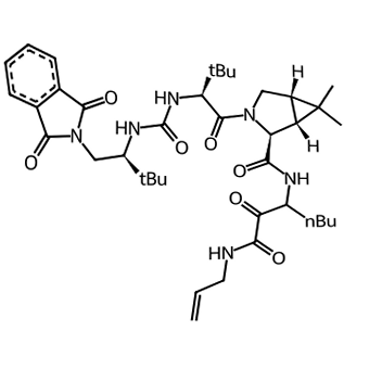 C=CCNC(=O)C(=O)C(CCCC)NC(=O)[C@@H]1[C@@H]2[C@H](CN1C(=O)[C@@H](NC(=O)N[C@H](CN1C(=O)c3ccccc3C1=O)C(C)(C)C)C(C)(C)C)C2(C)C